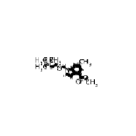 COC(=O)c1cc(C)cc2c1ccn2COCC[Si](C)(C)C